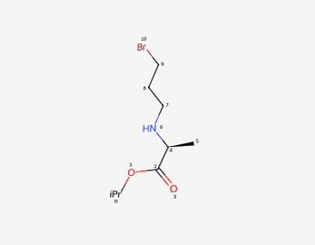 CC(C)OC(=O)[C@H](C)NCCCBr